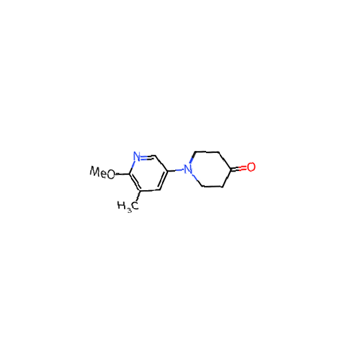 COc1ncc(N2CCC(=O)CC2)cc1C